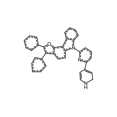 C1=CC(c2cccc(-n3c4ccccc4c4c5oc(-c6ccccc6)c(-c6ccccc6)c5ccc43)n2)=CCN1